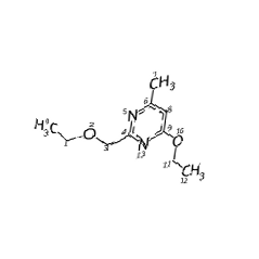 CCOCc1nc(C)cc(OCC)n1